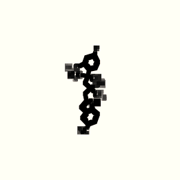 Cc1cc(F)ccc1C(C)(C)CC(O)(Cc1cc2cc(C#N)ccc2[nH]1)C(F)(F)F